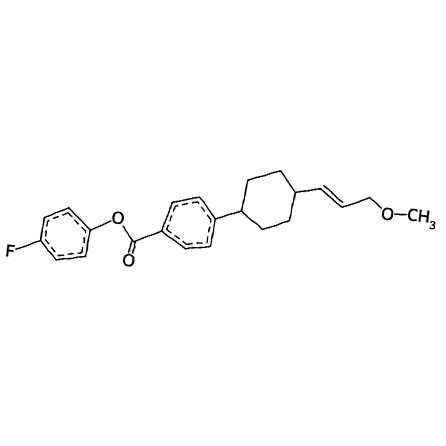 COCC=CC1CCC(c2ccc(C(=O)Oc3ccc(F)cc3)cc2)CC1